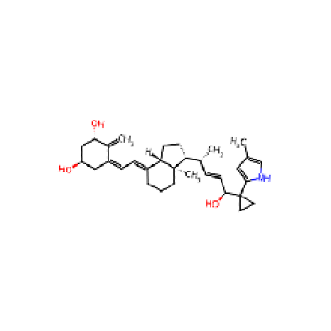 C=C1/C(=C\C=C2/CCC[C@]3(C)[C@@H]([C@H](C)/C=C/[C@H](O)C4(c5cc(C)c[nH]5)CC4)CC[C@@H]23)C[C@@H](O)C[C@@H]1O